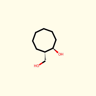 OC[C@@H]1CCCCCC[C@H]1O